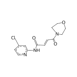 O=C(C=CC(=O)N1CCOCC1)Nc1cc(Cl)ccn1